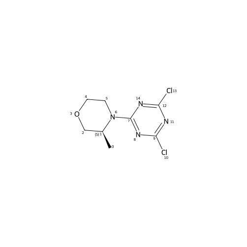 C[C@H]1COCCN1c1nc(Cl)nc(Cl)n1